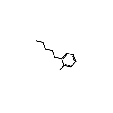 CCCCCc1cc[c]cc1I